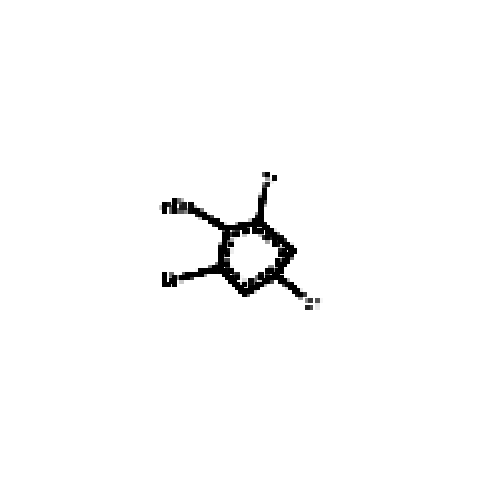 CCC[CH]c1c(Br)cc(Br)cc1Br